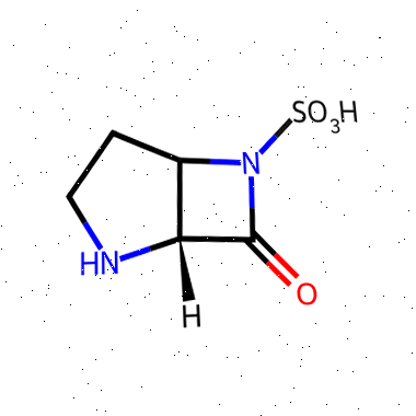 O=C1[C@@H]2NCCC2N1S(=O)(=O)O